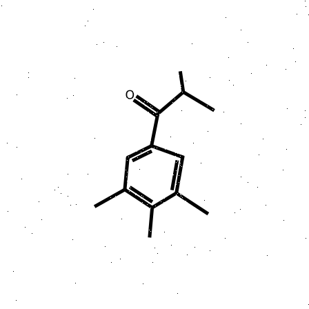 Cc1cc(C(=O)C(C)C)cc(C)c1C